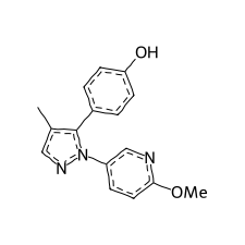 COc1ccc(-n2ncc(C)c2-c2ccc(O)cc2)cn1